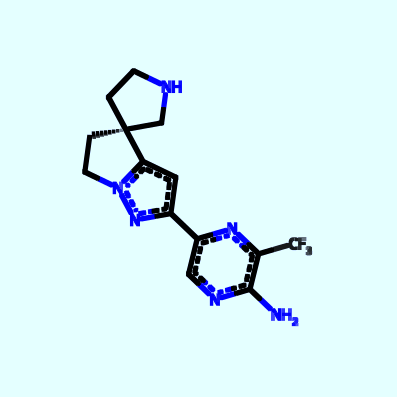 Nc1ncc(-c2cc3n(n2)CC[C@@]32CCNC2)nc1C(F)(F)F